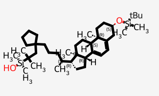 C[C@@H](CCCC1(CC(C)(C)[Si](C)(C)O)CCCC1)[C@H]1CC[C@H]2C3=CC=C4C[C@@H](O[Si](C)(C)C(C)(C)C)CC[C@]4(C)[C@H]3CC[C@]12C